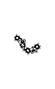 O=S(=O)(Cc1ccccc1)N1CCN(Cc2ccc(Oc3nc4ccccc4s3)cc2)CC1